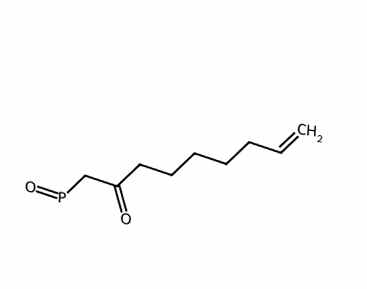 C=CCCCCCC(=O)CP=O